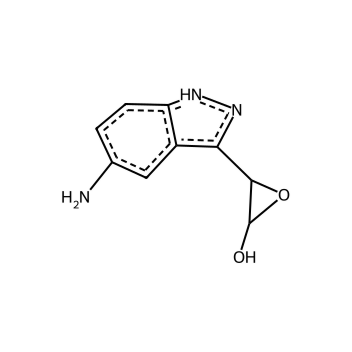 Nc1ccc2[nH]nc(C3OC3O)c2c1